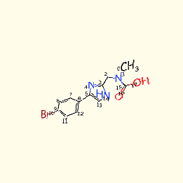 CN(Cc1nc(-c2ccc(Br)cc2)c[nH]1)C(=O)O